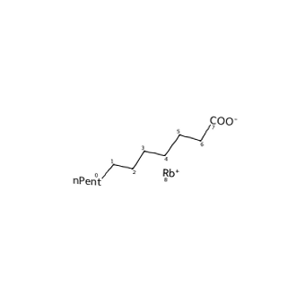 CCCCCCCCCCCC(=O)[O-].[Rb+]